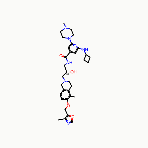 Cc1ncoc1COc1ccc2c(c1C)CCN(C[C@@H](O)CNC(=O)c1cc(NC3CCC3)nc(N3CCN(C)CC3)c1)C2